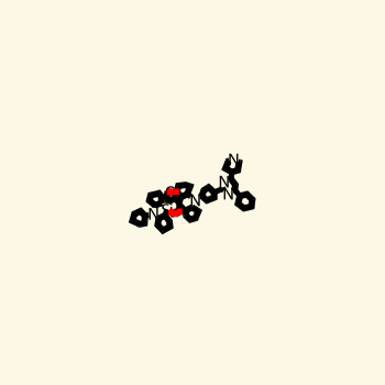 c1ccc(-c2cc(-c3ccncc3)nc(-c3ccc(N4c5ccccc5C5(c6ccccc64)c4ccccc4[Si]4(c6ccccc6N(c6ccccc6)c6ccccc64)c4ccccc45)cc3)n2)cc1